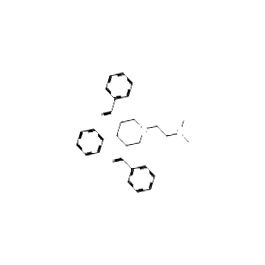 CN(C)CCN1C[C@H](C(=O)c2ccccc2)[C@H](c2ccccc2)[C@H](C(=O)c2ccccc2)C1